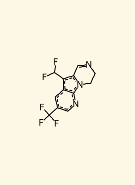 FC(F)c1c2n(c3ncc(C(F)(F)F)cc13)CCN=C2